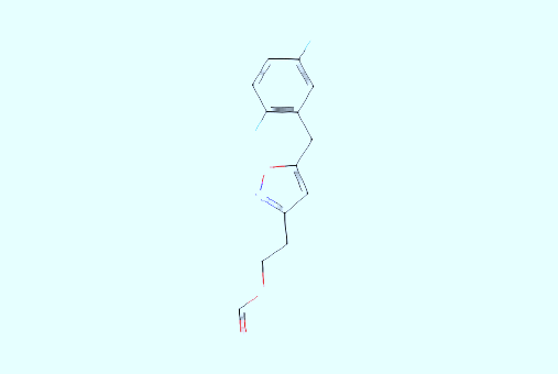 O=COCCc1cc(Cc2cc(F)ccc2F)on1